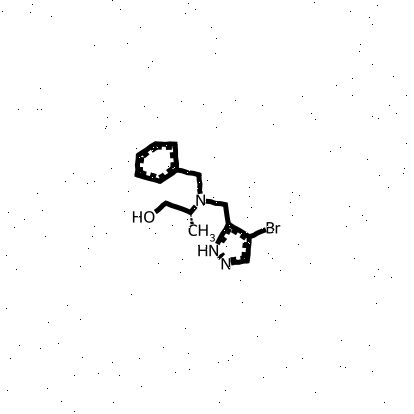 C[C@H](CO)N(Cc1ccccc1)Cc1[nH]ncc1Br